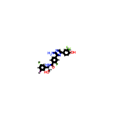 Nc1ncc(C2CC[C@H](O)C(F)(F)C2)nc1-c1ccc(C(=O)N[C@H](CO)c2cc(F)cc(I)c2)c(F)c1